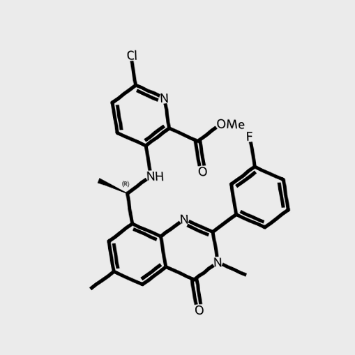 COC(=O)c1nc(Cl)ccc1N[C@H](C)c1cc(C)cc2c(=O)n(C)c(-c3cccc(F)c3)nc12